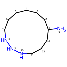 NC1CCCCCCNNNCCC1